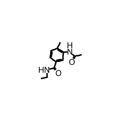 CCNC(=O)c1ccc(C)c(NC(C)=O)c1